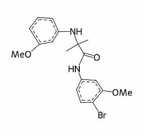 COc1cccc(NC(C)(C)C(=O)Nc2ccc(Br)c(OC)c2)c1